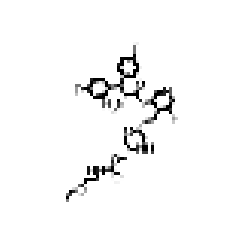 CCOCCNC(=O)OC[C@@H]1CO[C@H](CCc2c(F)cncc2NC(=O)[C@@H](N)C(c2ccc(F)cc2)c2ccc(F)cc2)CN1